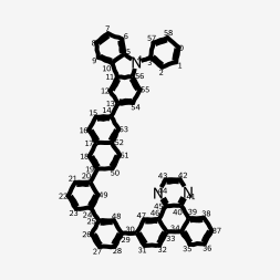 c1ccc(-n2c3ccccc3c3cc(-c4ccc5cc(-c6cccc(-c7cccc(-c8ccc9c%10ccccc%10c%10nccnc%10c9c8)c7)c6)ccc5c4)ccc32)cc1